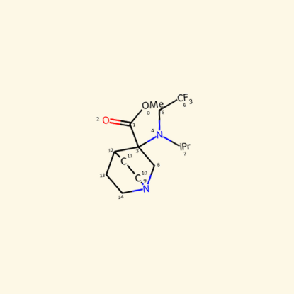 COC(=O)C1(N(CC(F)(F)F)C(C)C)CN2CCC1CC2